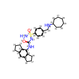 N[S@@](=O)(=NC(=O)Nc1c2c(cc3c1CCC3)CCC2)c1ccc(CNC2CCCCCC2)cc1